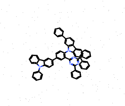 c1ccc(-c2ccc3c4ccc(-c5ccccc5)cc4n(-c4ccc(-c5ccc6c(c5)c5ccccc5n6-c5ccccc5)cc4-c4nc(-c5ccccc5)nc(-c5ccccc5)n4)c3c2)cc1